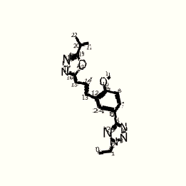 CCn1nnc(-c2ccc(OC)c(/C=C/Cc3nnc(C(C)C)o3)c2)n1